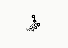 CC(C)(C)[C@H](N)C(=O)N1CCCC1C(=O)N(c1ccccc1)c1ccc(-c2ccccc2)cc1